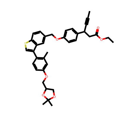 CC#CC(CC(=O)OCC)c1ccc(OCc2ccc3scc(-c4ccc(OCC5COC(C)(C)O5)cc4C)c3c2)cc1